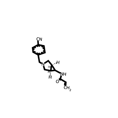 C=CC(=O)NC1[C@H]2CN(Cc3ccc(C#N)cc3)C[C@@H]12